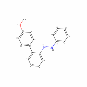 COc1ccc(-c2ccccc2N=Nc2ccccc2)cc1